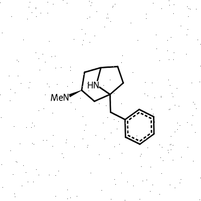 CN[C@H]1CC2CCC(Cc3ccccc3)(C1)N2